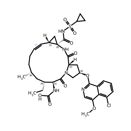 CC[C@@H]1C[C@H](C)CC/C=C\[C@@H]2C[C@@]2(C(=O)NS(=O)(=O)C2CC2)NC(=O)[C@@H]2C[C@@H](Oc3ncc(OC)c4c(Cl)cccc34)CN2C(=O)[C@H]1NC(=O)O